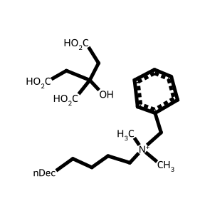 CCCCCCCCCCCCCC[N+](C)(C)Cc1ccccc1.O=C(O)CC(O)(CC(=O)O)C(=O)O